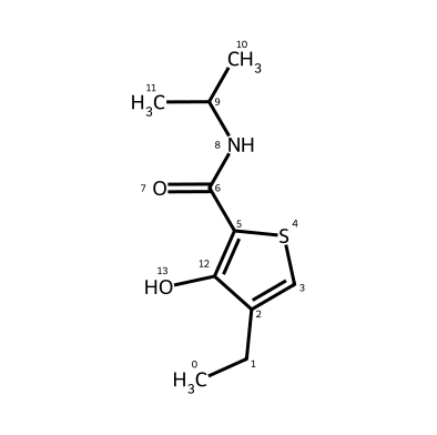 CCc1csc(C(=O)NC(C)C)c1O